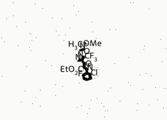 CCOC(=O)c1c(-c2c(F)cccc2Cl)noc1-c1cnn(CC(=O)N(C)OC)c1C(F)(F)F